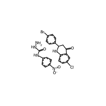 NNC(=O)Nc1ccc([N+](=O)[O-])cc1.O=C1CC(c2ccc(Br)cc2)Nc2ccc(Cl)cc21